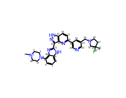 CN1CCN(c2cccc3[nH]c(-c4n[nH]c5ccc(-c6cncc(CN7CCC(F)(F)C7)c6)nc45)nc23)CC1